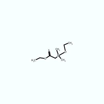 CCOC(=S)C[Si](C)(C)OCC